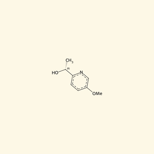 COc1ccc([C@@H](C)O)nc1